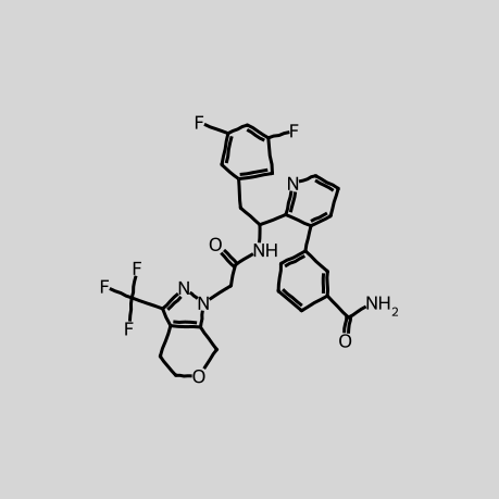 NC(=O)c1cccc(-c2cccnc2C(Cc2cc(F)cc(F)c2)NC(=O)Cn2nc(C(F)(F)F)c3c2COCC3)c1